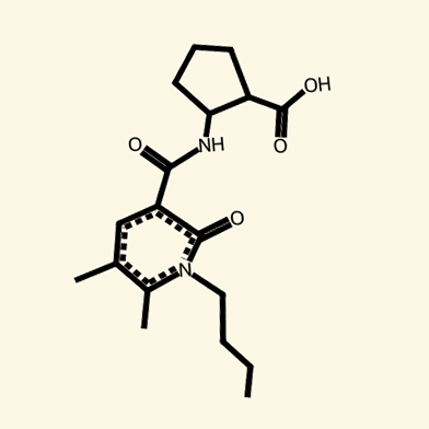 CCCCn1c(C)c(C)cc(C(=O)NC2CCCC2C(=O)O)c1=O